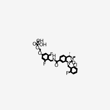 C[C@H]1c2ccc(C(=O)NCc3c(F)cc(OCOP(=O)(O)O)cc3F)cc2N(Cc2c(F)cccc2Cl)C(=O)N1C